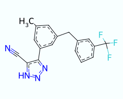 Cc1cc(Cc2cccc(C(F)(F)F)c2)cc(-c2nn[nH]c2C#N)c1